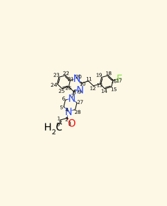 C=CC(=O)N1CCN(c2nc(CCc3ccc(F)cc3)nc3ccccc23)CC1